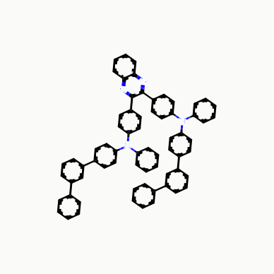 c1ccc(-c2cccc(-c3ccc(N(c4ccccc4)c4ccc(-c5nc6ccccc6nc5-c5ccc(N(c6ccccc6)c6ccc(-c7cccc(-c8ccccc8)c7)cc6)cc5)cc4)cc3)c2)cc1